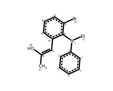 CCN(c1ccccc1)c1c(Br)cccc1/C=C(/C)O